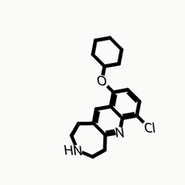 Clc1ccc(OC2CCCCC2)c2cc3c(nc12)CCNCC3